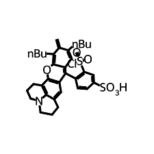 C=c1c(CCCC)cc2c(c1CCCC)Oc1c(cc3c4c1CCCN4CCC3)C=2c1ccc(S(=O)(=O)O)cc1S(=O)(=O)Cl